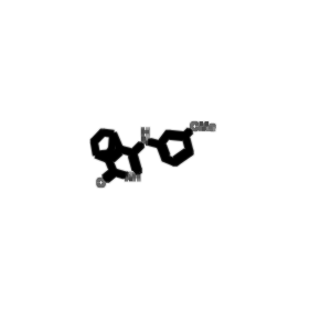 COc1cccc(Nc2c[nH]c(=O)c3c2C2CCC3CC2)c1